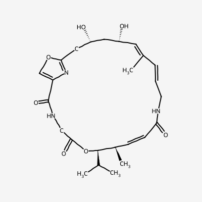 CC1=C\[C@@H](O)C[C@@H](O)Cc2nc(co2)C(=O)NCC(=O)O[C@H](C(C)C)[C@H](C)/C=C/C(=O)NC\C=C\1